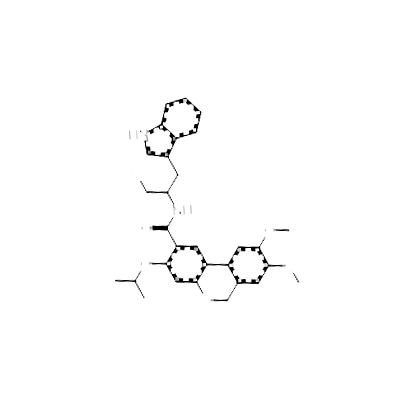 COc1cc2c(cc1OC)-c1cc(C(=O)NC(CO)Cc3c[nH]c4ccccc34)c(OC(C)C)cc1OC2